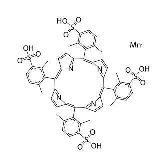 Cc1ccc(S(=O)(=O)O)c(C)c1C1=C2C=CC(=N2)C(c2c(C)ccc(S(=O)(=O)O)c2C)=C2C=CC(=N2)C(c2c(C)ccc(S(=O)(=O)O)c2C)=C2C=CC(=N2)C(c2c(C)ccc(S(=O)(=O)O)c2C)=C2C=CC1=N2.[Mn]